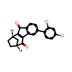 O=C1C2=C(C(=O)[C@@H]3CC[C@H]2C3)c2cc(-c3ccc(Cl)cc3Cl)ccc21